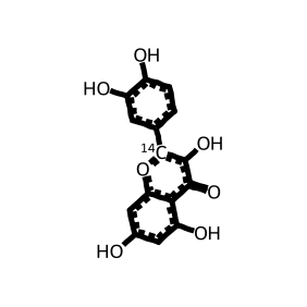 O=c1c(O)[14c](-c2ccc(O)c(O)c2)oc2cc(O)cc(O)c12